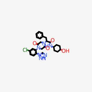 O=C(NC1CCC(O)CC1)C(Cc1ccccc1)N1CC(=O)N(c2cc(Cl)ccc2-n2cnnn2)CC1=O